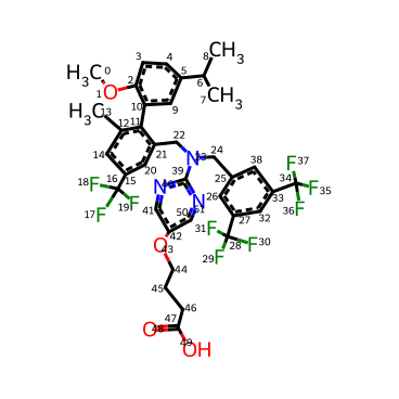 COc1ccc(C(C)C)cc1-c1c(C)cc(C(F)(F)F)cc1CN(Cc1cc(C(F)(F)F)cc(C(F)(F)F)c1)c1ncc(OCCCC(=O)O)cn1